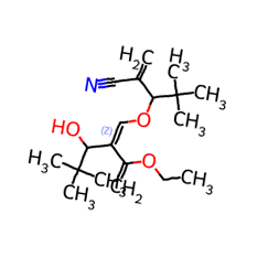 C=C(OCC)/C(=C\OC(C(=C)C#N)C(C)(C)C)C(O)C(C)(C)C